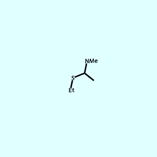 CCSC(C)NC